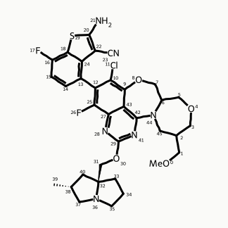 COCC1COCC2COc3c(Cl)c(-c4ccc(F)c5sc(N)c(C#N)c45)c(F)c4nc(OC[C@@]56CCCN5C[C@H](C)C6)nc(c34)N2C1